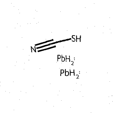 N#CS.[PbH2].[PbH2]